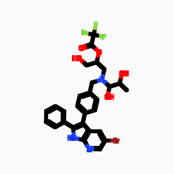 CC(O)C(O)N(Cc1ccc(-c2c(-c3ccccc3)[nH]c3ncc(Br)cc23)cc1)CC(CO)OC(=O)C(F)(F)F